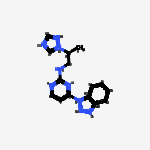 C[C@@H](CNc1nccc(-n2nnc3ccccc32)n1)n1cncn1